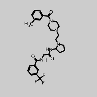 Cc1cccc(C(=O)N2CCN(CCN3CCCC3NC(=O)CNC(=O)c3cccc(C(F)(F)F)c3)CC2)c1